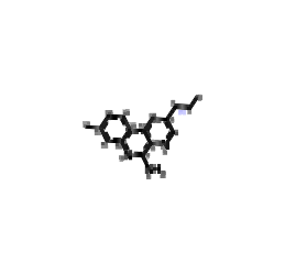 C/C=C/c1cnc2c(N)nc3cc(C)ccc3c2c1